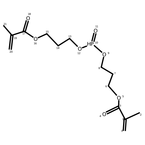 C=C(C)C(=O)OCCCO[PH](=O)OCCCOC(=O)C(=C)C